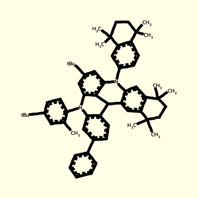 Cc1cc(C(C)(C)C)ccc1N1c2cc(-c3ccccc3)ccc2C2c3cc4c(cc3N(c3ccc5c(c3)C(C)(C)CCC5(C)C)c3cc(C(C)(C)C)cc1c32)C(C)(C)CCC4(C)C